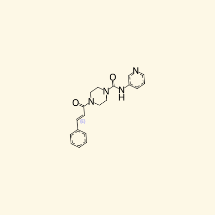 O=C(/C=C/c1ccccc1)N1CCN(C(=O)Nc2cccnc2)CC1